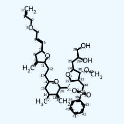 C=CCOC/C=C/C1CC(=C)C(CCC2CC(C)C(=C)C(C[C@@H]3OC(CC(O)CO)[C@H](OC)C3CS(=O)(=O)c3ccccc3)O2)O1